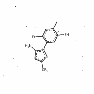 CCc1cc(C)c(S)cc1-n1nc(C(F)(F)F)nc1N